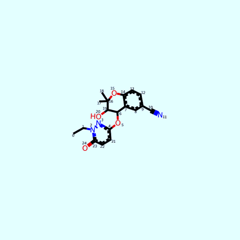 CCn1nc(OC2c3cc(C#N)ccc3OC(C)(C)C2O)ccc1=O